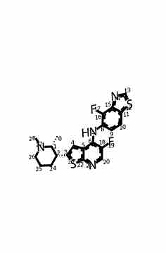 C[C@@H]1[C@H](c2cc3c(Nc4ccc5scnc5c4F)c(F)cnc3s2)CCCN1C